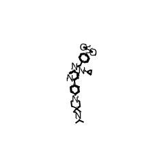 CC(C)N1CC2(CCN(c3ccc(-c4cc5c(cn4)nc(-c4ccc(S(C)(=O)=O)cc4)n5C4CC4)cc3)CC2)C1